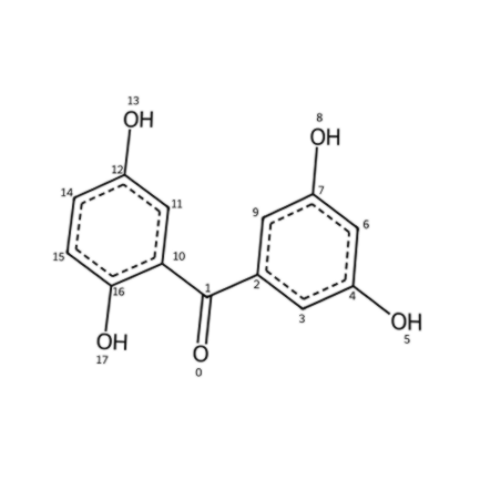 O=C(c1cc(O)cc(O)c1)c1cc(O)ccc1O